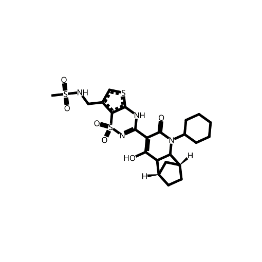 CS(=O)(=O)NCc1csc2c1S(=O)(=O)N=C(C1=C(O)C3C([C@@H]4CC[C@H]3C4)N(C3CCCCC3)C1=O)N2